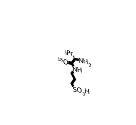 CC(C)[C@H](N)C(=[18O])NCCCS(=O)(=O)O